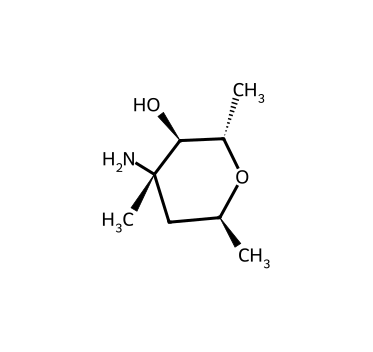 C[C@@H]1O[C@@H](C)C[C@](C)(N)[C@H]1O